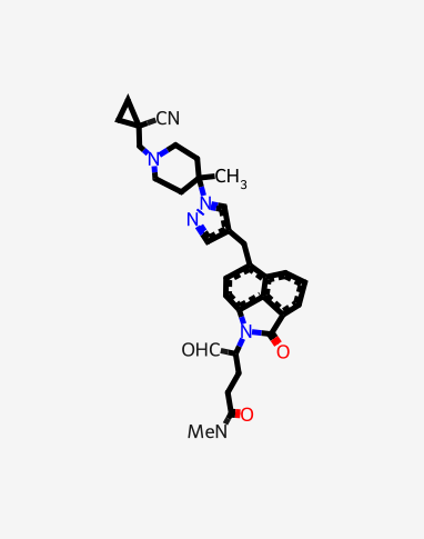 CNC(=O)CCC(C=O)N1C(=O)c2cccc3c(Cc4cnn(C5(C)CCN(CC6(C#N)CC6)CC5)c4)ccc1c23